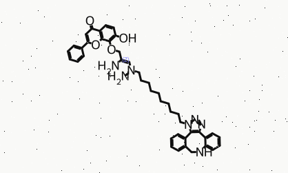 N/C(=C\N(N)CCCCCCCCCCn1nnc2c1-c1ccccc1CNc1ccccc1-2)COc1c(O)ccc2c(=O)cc(-c3ccccc3)oc12